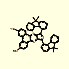 CC(C)(C)c1ccc2c(c1)c1cc(C(C)(C)C)ccc1c1nc3c(-c4cccc5c4-c4ccccc4C5(C)C)sc(-c4cccc5c4-c4ccccc4C5(C)C)c3nc21